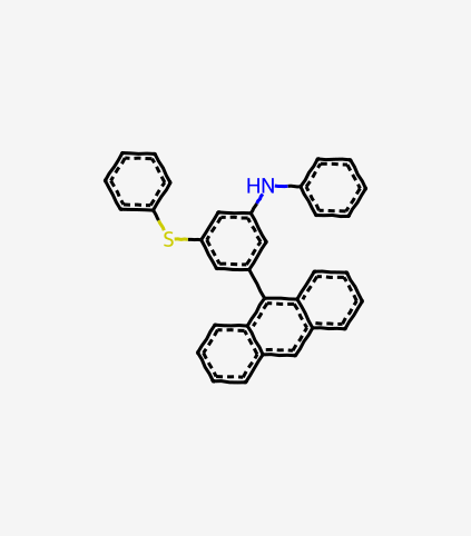 c1ccc(Nc2cc(Sc3ccccc3)cc(-c3c4ccccc4cc4ccccc34)c2)cc1